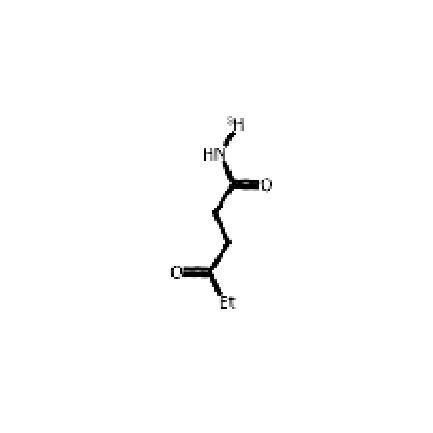 [3H]NC(=O)CCC(=O)CC